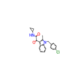 Cc1c(C(=O)C(=O)NC2CC2)c2ccccc2n1Cc1ccc(Cl)cc1